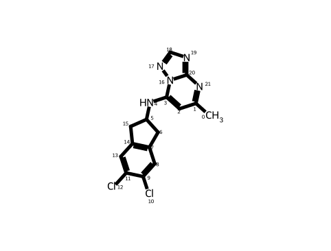 Cc1cc(NC2Cc3cc(Cl)c(Cl)cc3C2)n2ncnc2n1